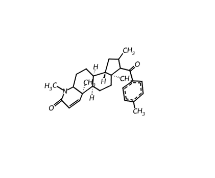 Cc1ccc(C(=O)C2C(C)C[C@H]3[C@@H]4CCC5N(C)C(=O)C=C[C@]5(C)[C@@H]4CC[C@]23C)cc1